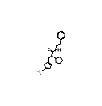 Cc1ccc(CN(C(=O)NCCc2ccccc2)C2CCCC2)s1